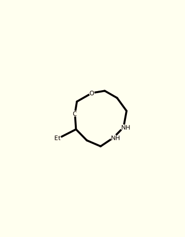 CCC1CCNNCCCOCC1